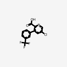 O=C(O)c1ncc(Cl)cc1-c1cccc(C(F)(F)F)c1